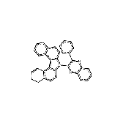 C1=Cc2c(ccc3c2c2c4ccccc4ccc2n3-c2nc3ccccc3nc2-c2ccccc2)CC1